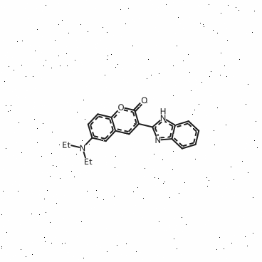 CCN(CC)c1ccc2oc(=O)c(-c3nc4ccccc4[nH]3)cc2c1